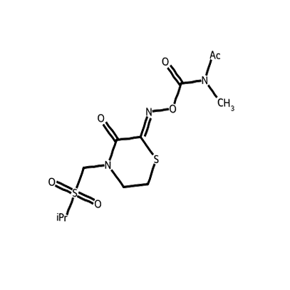 CC(=O)N(C)C(=O)ON=C1SCCN(CS(=O)(=O)C(C)C)C1=O